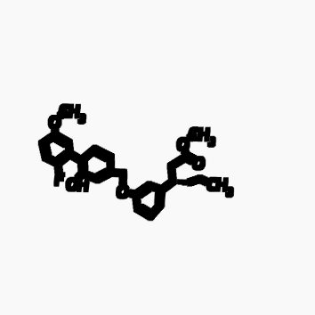 CCC[C@@H](CC(=O)OC)c1cccc(OCc2ccc(-c3cc(OC)ccc3F)c(O)c2)c1